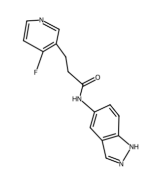 O=C(CCc1cnccc1F)Nc1ccc2[nH]ncc2c1